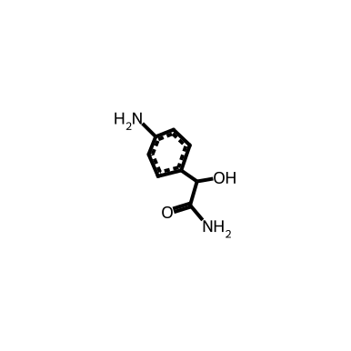 NC(=O)C(O)c1ccc(N)cc1